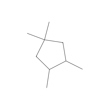 CC1CC(C)(C)CC1C